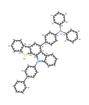 c1ccc(-c2ccc(-n3c4ccccc4c4c(-c5ccc(N(c6ccccc6)c6ccccc6)cc5)cc5c6ccccc6sc5c43)cc2)cc1